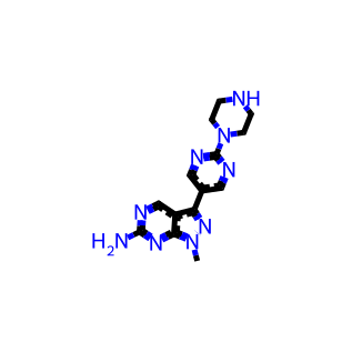 Cn1nc(-c2cnc(N3CCNCC3)nc2)c2cnc(N)nc21